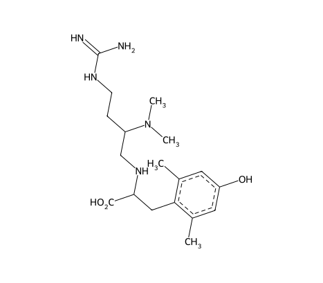 Cc1cc(O)cc(C)c1CC(NCC(CCNC(=N)N)N(C)C)C(=O)O